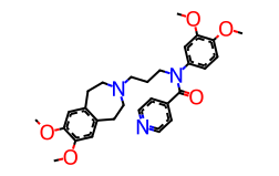 COc1ccc(N(CCCN2CCc3cc(OC)c(OC)cc3CC2)C(=O)c2ccncc2)cc1OC